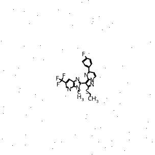 CCSc1nn2ccc(-c3ccc(F)cc3)nc2c1-c1nc2cc(C(F)(F)F)cnc2n1C